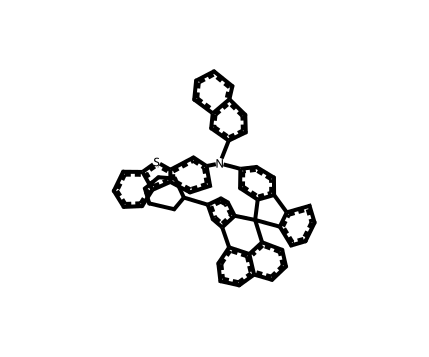 c1ccc2c(c1)-c1ccc(N(c3ccc4ccccc4c3)c3ccc4c(c3)sc3ccccc34)cc1C21c2ccc(C3CCCCC3)cc2-c2cccc3cccc1c23